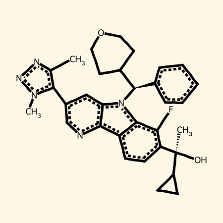 Cc1nnn(C)c1-c1cnc2c3ccc([C@@](C)(O)C4CC4)c(F)c3n([C@H](c3ccccc3)C3CCOCC3)c2c1